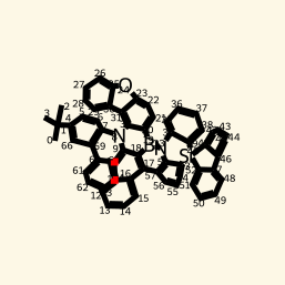 CC(C)(C)c1ccc(N2c3cc4ccccc4c4c3B(c3ccc5oc6ccccc6c5c32)N2c3ccccc3[Si]3(c5ccccc5-c5ccccc53)c3cccc-4c32)c(-c2ccccc2)c1